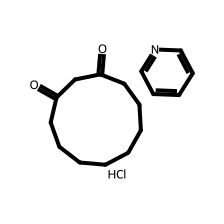 Cl.O=C1CCCCCCCCC(=O)C1.c1ccncc1